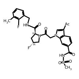 CC(=O)c1cn(CC(=O)N2C[C@H](F)C[C@H]2C(=O)NCc2cccc(C)c2F)c2cc(C(=O)NS(C)(=O)=O)ccc12